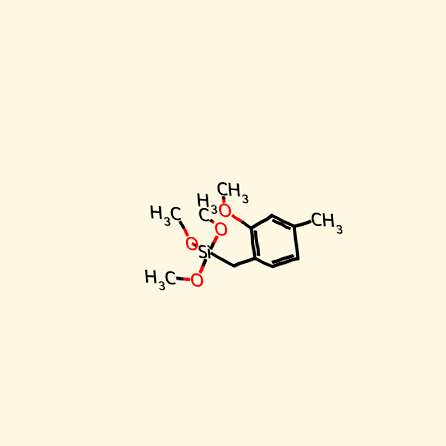 COc1cc(C)ccc1C[Si](OC)(OC)OC